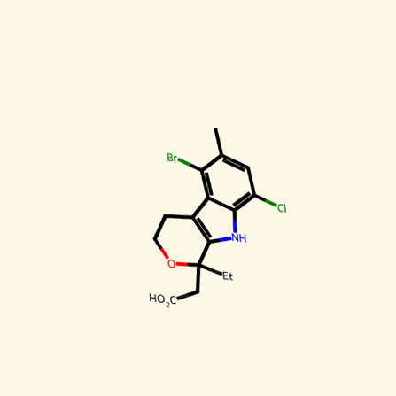 CCC1(CC(=O)O)OCCc2c1[nH]c1c(Cl)cc(C)c(Br)c21